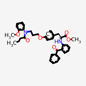 CCCC(=O)N(CCCOc1ccc(C[C@H](Nc2ccccc2C(=O)c2ccccc2)C(=O)OC)cc1)c1ccccc1OC